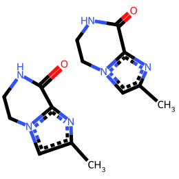 Cc1cn2c(n1)C(=O)NCC2.Cc1cn2c(n1)C(=O)NCC2